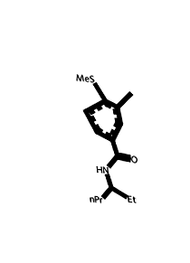 CCCC(CC)NC(=O)c1ccc(SC)c(C)c1